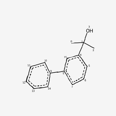 CC(C)(O)c1cccc(-c2ccccc2)c1